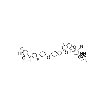 CCN(C)S(=O)(=O)Nc1ccc(F)c(Oc2ccc3ncn([C@@H]4CCC5(CCN(C(=O)CN6CCC(c7ccc(NC8CCC(=O)NC8=O)cc7F)CC6)CC5)C4)c(=O)c3c2)c1C#N